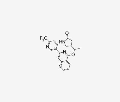 CC(Oc1nc(-c2ccc(C(F)(F)F)nc2)cc2ncccc12)C1CNC(=O)C1